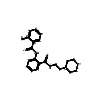 O=C(Nc1ccccc1C(=O)NCCN1CCOCC1)c1ccccc1Cl